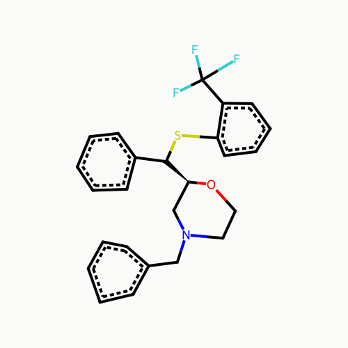 FC(F)(F)c1ccccc1SC(c1ccccc1)[C@@H]1CN(Cc2ccccc2)CCO1